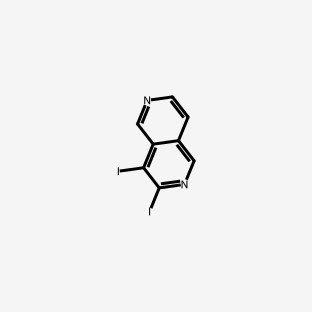 Ic1ncc2ccncc2c1I